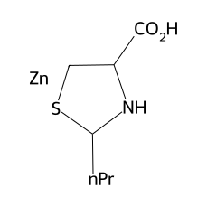 CCCC1NC(C(=O)O)CS1.[Zn]